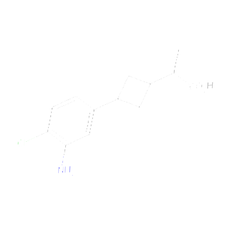 CC(C(=O)O)C1CC(c2ccc(Cl)c(N)c2)C1